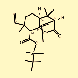 C=CC1(C)CC[C@H]2C(C)(C)[C@@H]3C=C(C)[C@]2(OC3=O)[C@H]1C(=O)O[Si](C)(C)C(C)(C)C